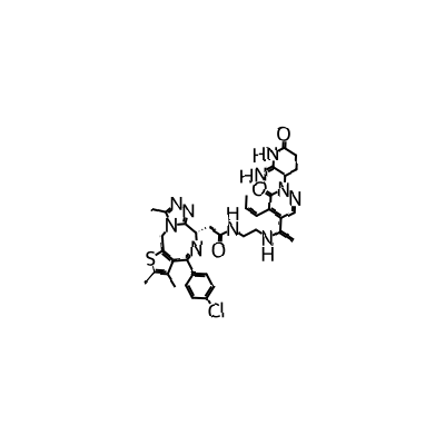 C=C(NCCNC(=O)C[C@@H]1/N=C(/c2ccc(Cl)cc2)c2c(sc(C)c2C)Cn2c(C)nnc21)c1cnn(C2CCC(=O)NC2=N)c(=O)c1/C=C\C